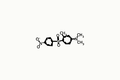 Cc1cc(N(C)C)ccc1S(=O)(=O)c1ccc([N+](=O)[O-])cc1